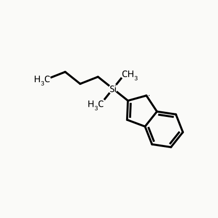 CCCC[Si](C)(C)C1=Cc2ccccc2[CH]1